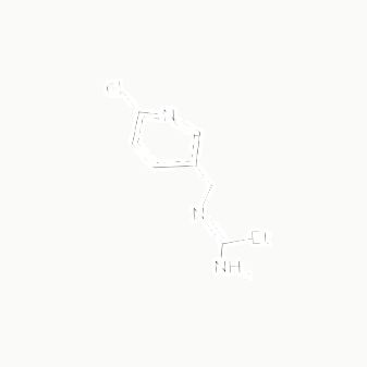 CC/C(N)=N\Cc1ccc(Cl)nc1